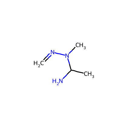 C=NN(C)C(C)N